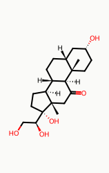 C[C@]12CC[C@@H](O)C[C@H]1CC[C@@H]1[C@@H]2C(=O)C[C@@]2(C)[C@H]1CC[C@]2(O)[C@@H](O)CO